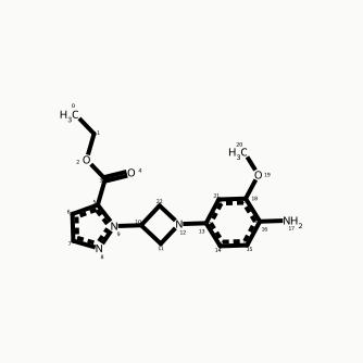 CCOC(=O)c1ccnn1C1CN(c2ccc(N)c(OC)c2)C1